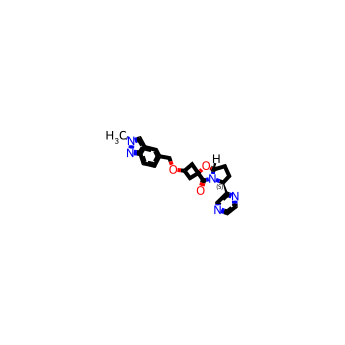 Cn1cc2cc(COC3CC4(C3)O[C@@H]3CC[C@@H](c5cnccn5)N3C4=O)ccc2n1